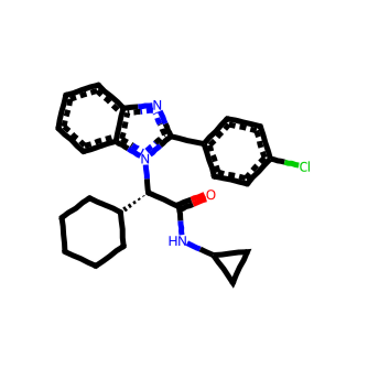 O=C(NC1CC1)[C@H](C1CCCCC1)n1c(-c2ccc(Cl)cc2)nc2ccccc21